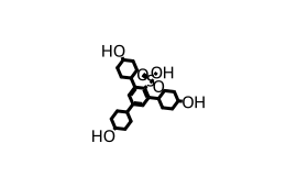 O=S(=O)(O)c1c(C2CCC(O)CC2)cc(C2CCC(O)CC2)cc1C1CCC(O)CC1